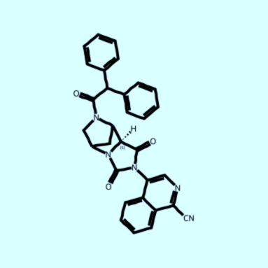 N#Cc1ncc(N2C(=O)[C@@H]3C4CC(CN4C(=O)C(c4ccccc4)c4ccccc4)N3C2=O)c2ccccc12